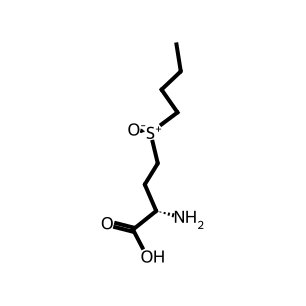 CCCC[S@@+]([O-])CC[C@H](N)C(=O)O